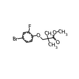 COC(=O)C(C)(C)COc1ccc(Br)cc1F